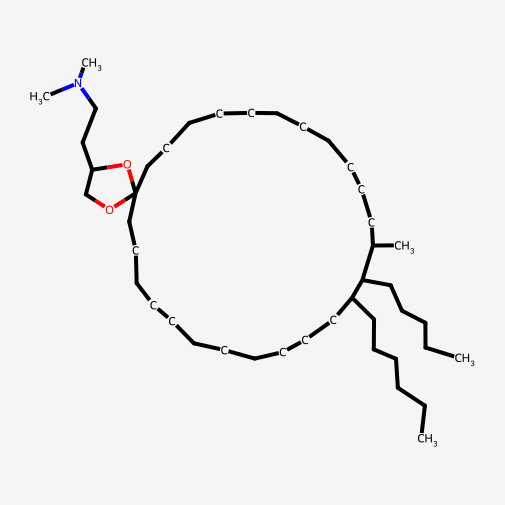 CCCCCCC1CCCCCCCCCCCC2(CCCCCCCCCCCC(C)C1CCCCC)OCC(CCN(C)C)O2